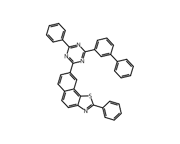 c1ccc(-c2cccc(-c3nc(-c4ccccc4)nc(-c4ccc5ccc6nc(-c7ccccc7)sc6c5c4)n3)c2)cc1